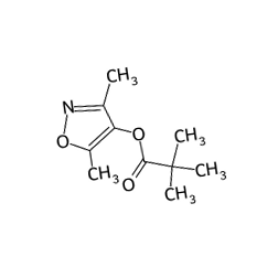 Cc1noc(C)c1OC(=O)C(C)(C)C